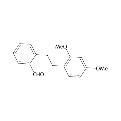 COc1ccc(CCc2ccccc2C=O)c(OC)c1